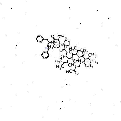 CCC(C)C(C(CC(=O)N1CCC[C@H]1C(OC)C(C)C(=O)NC(/C=C/c1ccccc1)Cc1ccccc1)OC)N(C)C(=O)C(NC(=O)C(C(C)C)N(C)CCCC(=O)O)C(C)C